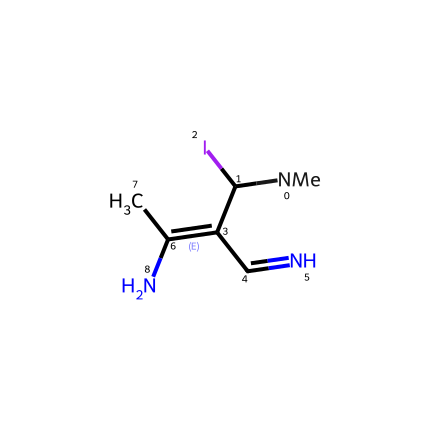 CNC(I)/C(C=N)=C(\C)N